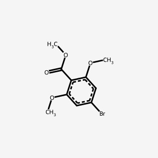 COC(=O)c1c(OC)cc(Br)cc1OC